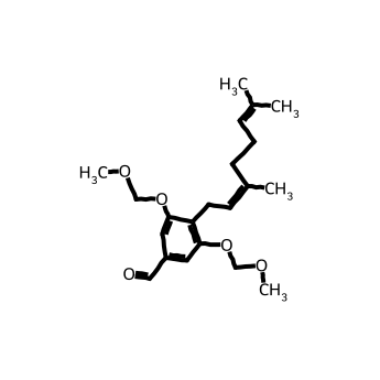 COCOc1cc(C=O)cc(OCOC)c1CC=C(C)CCC=C(C)C